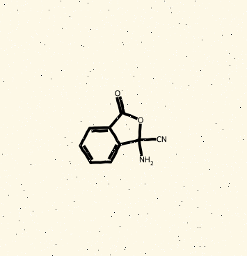 N#CC1(N)OC(=O)c2ccccc21